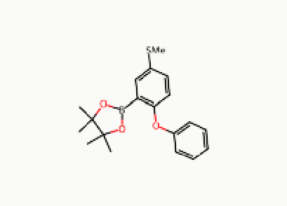 CSc1ccc(Oc2ccccc2)c(B2OC(C)(C)C(C)(C)O2)c1